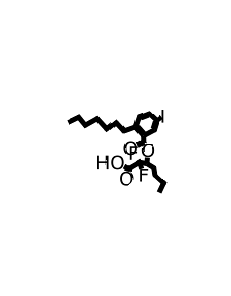 CCCCCCCc1ccc(I)cc1C(=O)OC(CCCC)C(F)(F)C(=O)O